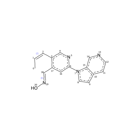 C/C=C\c1cnc(-n2ccc3ccncc32)cc1/C=N/O